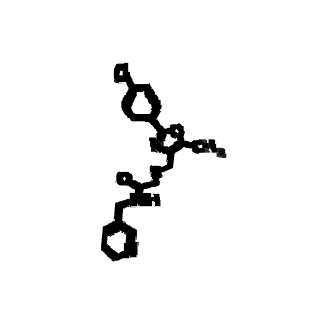 Cc1oc(-c2ccc(Cl)cc2)nc1CSCC(=O)NCc1cccnc1